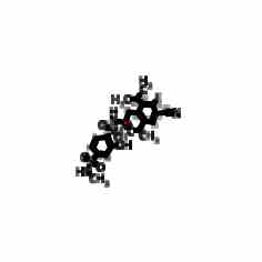 CNS(=O)(=O)c1ccc(S(=O)(=O)NC(=O)Cc2c(C(C)C)cc(C#N)c(F)c2C(C)C)c(O)c1